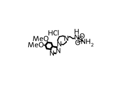 COc1cc2ncnc(N3CCCN(CCNS(N)(=O)=O)CC3)c2cc1OC.Cl